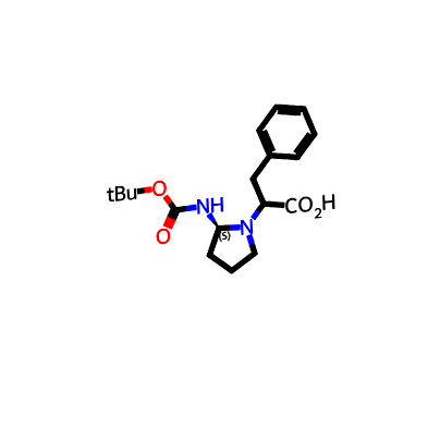 CC(C)(C)OC(=O)N[C@@H]1CCCN1C(Cc1ccccc1)C(=O)O